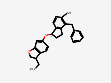 N#Cc1ccc2c(c1Cc1ccccc1)CC[C@H]2Oc1ccc2c(c1)OCC2CC(=O)O